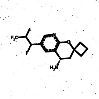 CC(C(F)c1cnc2c(c1)[C@@H](N)CC1(CCC1)O2)C(F)(F)F